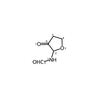 O=[C]NC1OCCC1=O